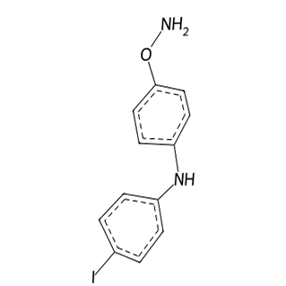 NOc1ccc(Nc2ccc(I)cc2)cc1